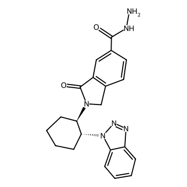 NNC(=O)c1ccc2c(c1)C(=O)N([C@@H]1CCCC[C@H]1n1nnc3ccccc31)C2